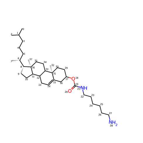 CC(C)CCC[C@@H](C)[C@H]1CCC2C3CC=C4CC(OC(=O)NCCCCCCN)CC[C@]4(C)C3CC[C@@]21C